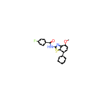 COc1ccc(-c2ccccc2)c2sc(NC(=O)c3ccc(F)cc3)nc12